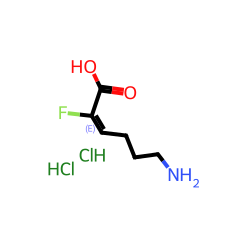 Cl.Cl.NCCC/C=C(/F)C(=O)O